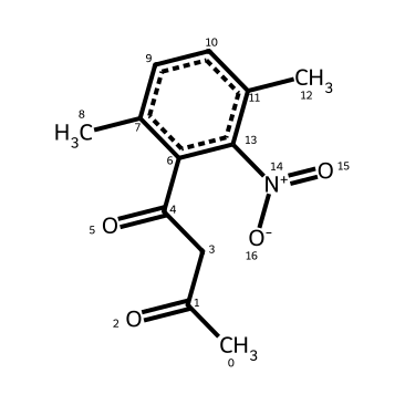 CC(=O)CC(=O)c1c(C)ccc(C)c1[N+](=O)[O-]